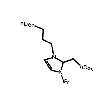 CCCCCCCCCCCCCN1C=CN(C(C)C)C1CCCCCCCCCCC